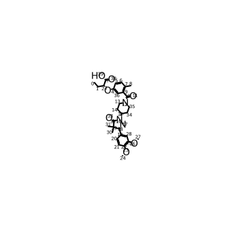 CCC(Oc1ccc(C)c(C(=O)N2CCC(N3N=C(c4ccc(OC)c(OC)c4)C(C)(C)C3=O)CC2)c1)C(=O)O